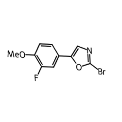 COc1ccc(-c2cnc(Br)o2)cc1F